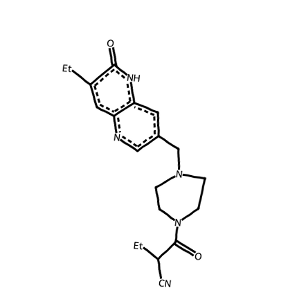 CCc1cc2ncc(CN3CCN(C(=O)C(C#N)CC)CC3)cc2[nH]c1=O